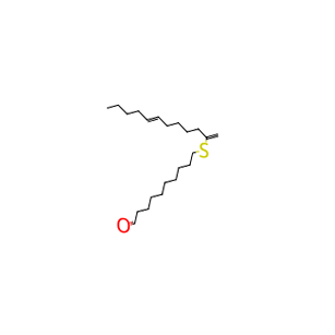 C=C(CCCCC=CCCCC)SCCCCCCCCCC=O